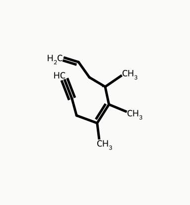 C#CCC(C)=C(C)[C](C)CC=C